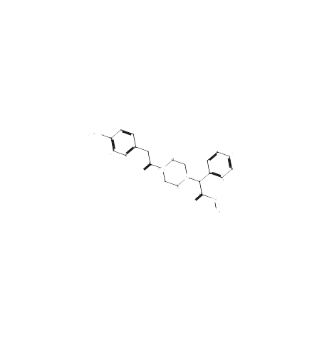 COc1ccc(CC(=O)N2CCN(C(C(=O)NO)c3ccccc3)CC2)cc1